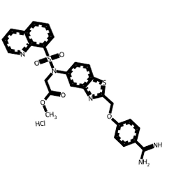 COC(=O)CN(c1ccc2sc(COc3ccc(C(=N)N)cc3)nc2c1)S(=O)(=O)c1cccc2cccnc12.Cl